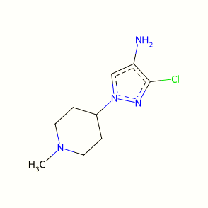 CN1CCC(n2cc(N)c(Cl)n2)CC1